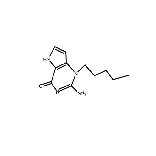 CCCCCn1c(N)nc(=O)c2[nH]ccc21